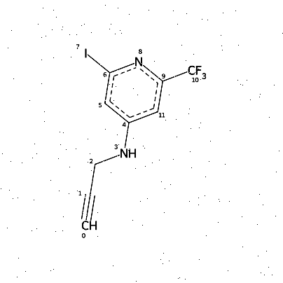 C#CCNc1cc(I)nc(C(F)(F)F)c1